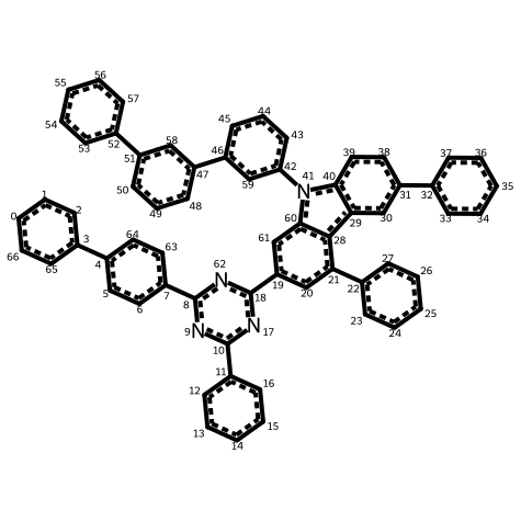 c1ccc(-c2ccc(-c3nc(-c4ccccc4)nc(-c4cc(-c5ccccc5)c5c6cc(-c7ccccc7)ccc6n(-c6cccc(-c7cccc(-c8ccccc8)c7)c6)c5c4)n3)cc2)cc1